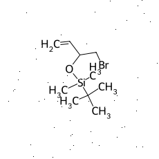 C=CC(CBr)O[Si](C)(C)C(C)(C)C